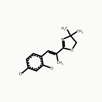 C/C(=C\c1ccc(Cl)cc1Cl)C1=NC(C)(C)CO1